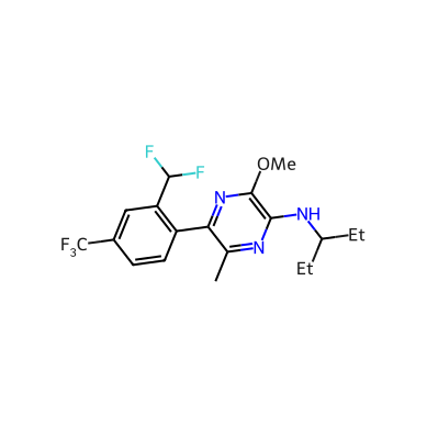 CCC(CC)Nc1nc(C)c(-c2ccc(C(F)(F)F)cc2C(F)F)nc1OC